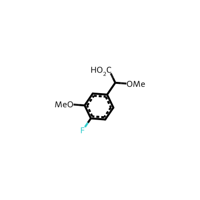 COc1cc(C(OC)C(=O)O)ccc1F